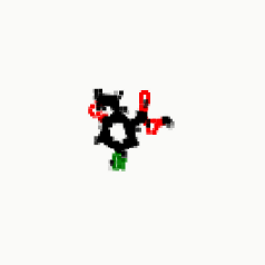 COC(=O)c1cc(Br)cc2occc12